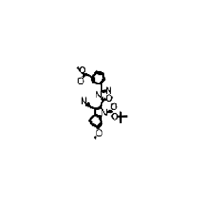 COC(=O)c1cccc(-c2noc(-c3c(C#N)c4ccc(OC)cc4n3C(=O)OC(C)(C)C)n2)c1